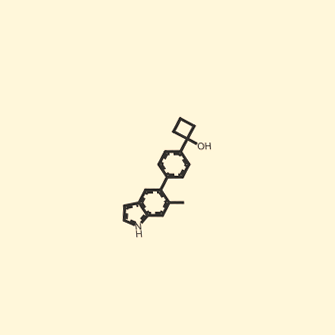 Cc1cc2[nH]ccc2cc1-c1ccc(C2(O)CCC2)cc1